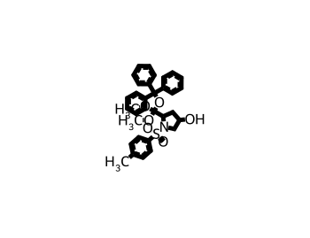 COC(OC)(OC(c1ccccc1)(c1ccccc1)c1ccccc1)C1CC(O)CN1S(=O)(=O)c1ccc(C)cc1